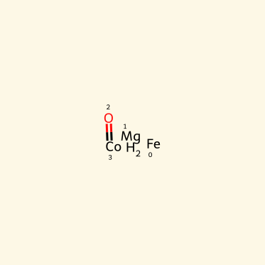 [Fe].[MgH2].[O]=[Co]